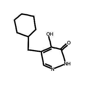 O=c1[nH]ncc(CC2CCCCC2)c1O